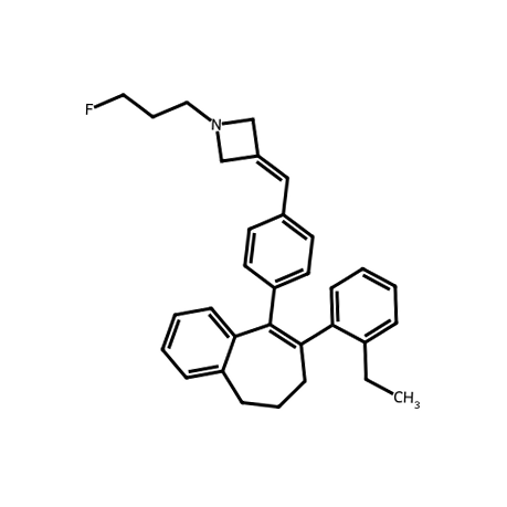 CCc1ccccc1C1=C(c2ccc(C=C3CN(CCCF)C3)cc2)c2ccccc2CCC1